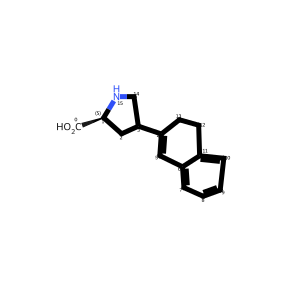 O=C(O)[C@@H]1CC(C2=Cc3ccccc3CC2)CN1